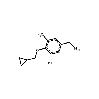 Cc1cc(CN)ncc1OCC1CC1.Cl